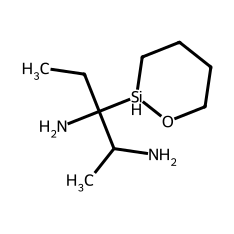 CCC(N)(C(C)N)[SiH]1CCCCO1